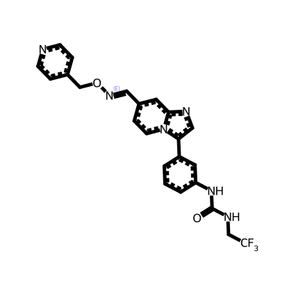 O=C(NCC(F)(F)F)Nc1cccc(-c2cnc3cc(/C=N/OCc4ccncc4)ccn23)c1